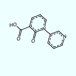 O=C(O)c1cccn(-c2cccnc2)c1=O